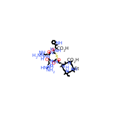 C=Cc1c(C)c2cc3nc(c(C)c4nc(cc5[nH]c(cc1[nH]2)c(C)c5CC)C(C)=C4C(=O)O)[C@@H](CCC(=O)N[C@H]1CSSC[C@@H](C(=O)N[C@@H](Cc2c[nH]c4ccccc24)C(=O)O)NC(=O)[C@H](CCCNC(=N)N)NC(=O)[C@H](CCCNC(=N)N)NC1=O)[C@@H]3C